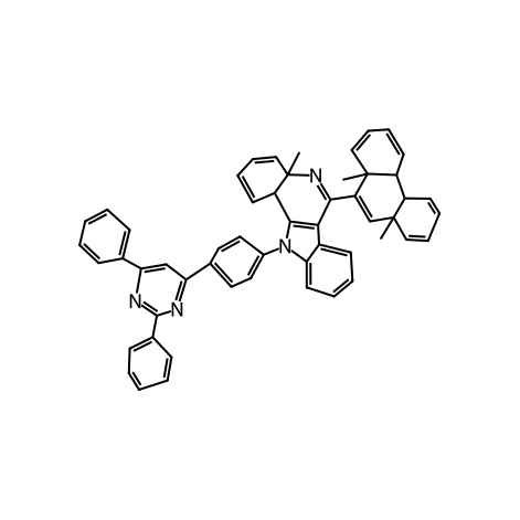 CC12C=CC=CC1C1C=CC=CC1(C)C(C1=NC3(C)C=CC=CC3c3c1c1ccccc1n3-c1ccc(-c3cc(-c4ccccc4)nc(-c4ccccc4)n3)cc1)=C2